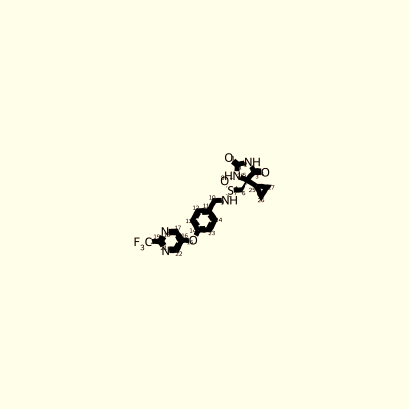 O=C1NC(=O)[C@](C[S+]([O-])NCc2ccc(Oc3cnc(C(F)(F)F)nc3)cc2)(C2CC2)N1